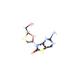 Nc1ncc2sc(=O)n([C@@H]3CS[C@@H](CO)O3)c2n1